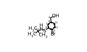 CC(C)(C)NSc1cc(CO)ccc1Br